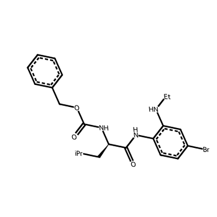 CCNc1cc(Br)ccc1NC(=O)[C@@H](CC(C)C)NC(=O)OCc1ccccc1